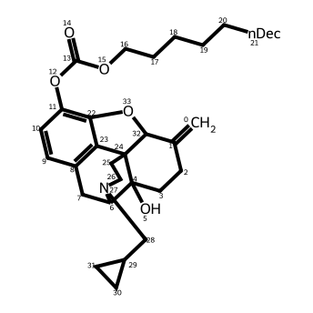 C=C1CCC2(O)C3Cc4ccc(OC(=O)OCCCCCCCCCCCCCCC)c5c4C2(CCN3CC2CC2)C1O5